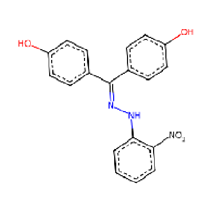 O=[N+]([O-])c1ccccc1NN=C(c1ccc(O)cc1)c1ccc(O)cc1